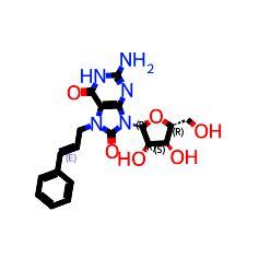 Nc1nc2c(c(=O)[nH]1)n(C/C=C/c1ccccc1)c(=O)n2[C@@H]1O[C@H](CO)[C@@H](O)[C@H]1O